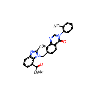 CCCCc1nc2cccc(C(=O)OC)c2n1Cc1ccc2c(=O)n(-c3ccccc3C#N)cnc2c1